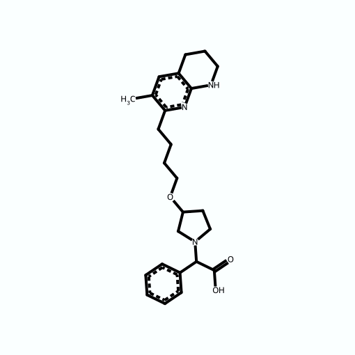 Cc1cc2c(nc1CCCCOC1CCN(C(C(=O)O)c3ccccc3)C1)NCCC2